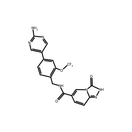 Nc1ncc(-c2ccc(CNC(=O)c3ccc4n[nH]c(=O)n4c3)c(OC(F)(F)F)c2)cn1